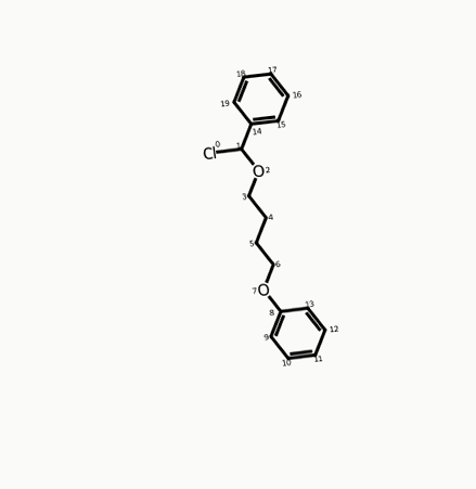 ClC(OCCCCOc1ccccc1)c1ccccc1